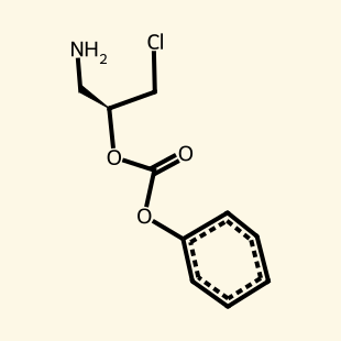 NC[C@@H](CCl)OC(=O)Oc1ccccc1